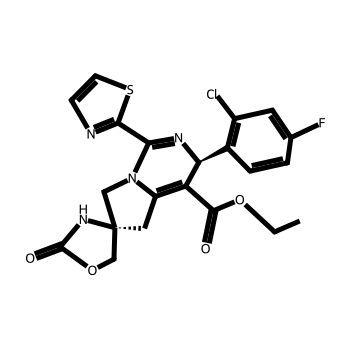 CCOC(=O)C1=C2C[C@@]3(COC(=O)N3)CN2C(c2nccs2)=N[C@H]1c1ccc(F)cc1Cl